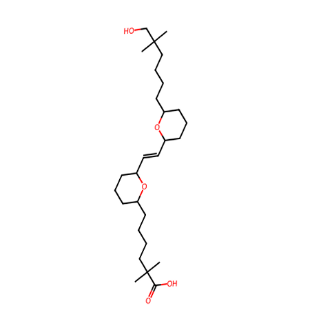 CC(C)(CO)CCCCC1CCCC(C=CC2CCCC(CCCCC(C)(C)C(=O)O)O2)O1